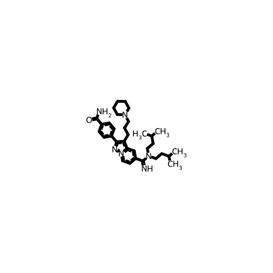 CC(C)CCN(CCC(C)C)C(=N)c1ccn2nc(-c3ccc(C(N)=O)cc3)c(CCCN3CCCCC3)c2c1